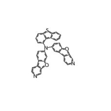 c1ccc2c(c1)sc1cccc(N(c3ccc4c(c3)oc3cnccc34)c3ccc4oc5cnccc5c4c3)c12